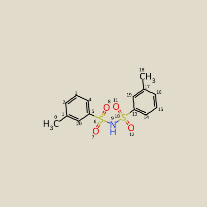 Cc1cccc(S(=O)(=O)NS(=O)(=O)c2cccc(C)c2)c1